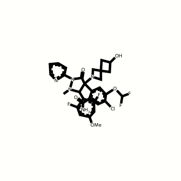 COc1cc(F)c(C2N(C)N(c3ccccn3)C(=O)C2(c2cc(OC(F)F)c(Cl)cc2C(N)=O)N2CC3(CC(O)C3)C2)c(F)c1